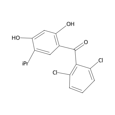 CC(C)c1cc(C(=O)c2c(Cl)cccc2Cl)c(O)cc1O